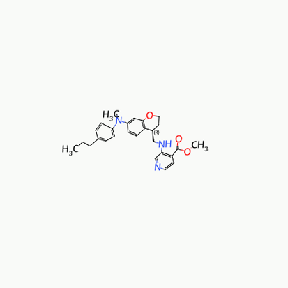 CCCc1ccc(N(C)c2ccc3c(c2)OCC[C@H]3CNc2cnccc2C(=O)OC)cc1